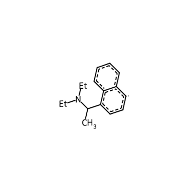 CCN(CC)C(C)c1cc[c]c2ccccc12